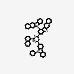 c1ccc(-n2c3ccccc3c3ccc(C4N=C(c5cc(-n6c7ccccc7c7cc8ccccc8cc76)c6c(c5)oc5cc7ccccc7cc56)N=C(c5cccc6ccccc56)N4)cc32)cc1